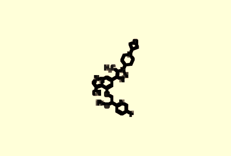 Cc1c(-c2cc(OCC(OC(C)C)c3ccc(F)cn3)c3c(C#N)cnn3c2)nnn1C1CCN(C2COC2)CC1